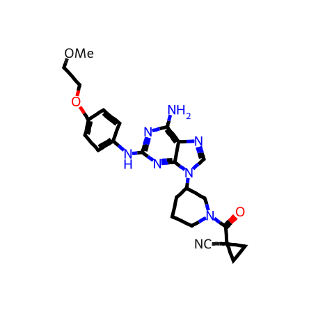 COCCOc1ccc(Nc2nc(N)c3ncn(C4CCCN(C(=O)C5(C#N)CC5)C4)c3n2)cc1